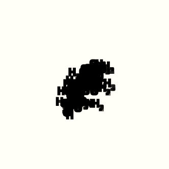 CC[C@H](C)[C@H](N)C(=O)N[C@H](C(=O)N[C@@H](CC(C)C)C(=O)N[C@@H](CCC(N)=O)C(=O)N[C@@H](CC(C)C)C(=O)N1CCC[C@H]1C(=O)N[C@@H](CCC(N)=O)C(=O)NCC(=O)N[C@H](C(=O)N[C@H](C(=O)N[C@@H](CC(C)C)C(=O)N1CCC[C@H]1C(=O)N[C@@H](CCCCN)C(=O)NCC(=O)N[C@@H](Cc1ccccc1)C(=O)O)[C@@H](C)O)[C@@H](C)O)C(C)C